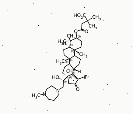 CC(C)C1=C2[C@H]3CCC4[C@@]5(C)CC[C@H](OC(=O)CC(C)(C)C(=O)O)C(C)(C)[C@@H]5CC[C@@]4(C)[C@]3(C)CC[C@@]2([C@@H](O)CN2CCCN(C)CC2)CC1=O